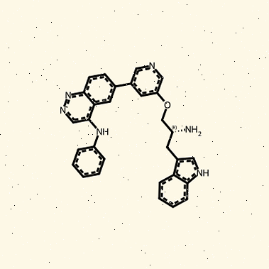 N[C@@H](COc1cncc(-c2ccc3nncc(Nc4ccccc4)c3c2)c1)Cc1c[nH]c2ccccc12